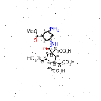 COC(=O)c1cc(N)cc(NC(=O)C2(CC(=O)O)CC(CC(=O)O)C(CC(=O)O)[C@H](CC(=O)O)C2)c1